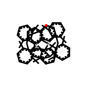 Cc1cccc(C)c1[PH](c1cc2ccc1CCc1ccc(c([PH](c3c(C)cccc3C)(c3c(C)cccc3C)c3c(C)cccc3C)c1)CC2)(c1c(C)cccc1C)c1c(C)cccc1C